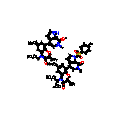 COc1cc(-c2cn(C)c(=O)c3[nH]ccc23)c2c(c1)N(CC(=O)O)C(=O)C(C(C)C)O2.COc1cc(-c2cn(C)c(=O)c3c2ccn3S(=O)(=O)c2ccc(C)cc2)c2c(c1)N(C(C(=O)O)C(C)(C)C)C(=O)C(C(C)C)O2